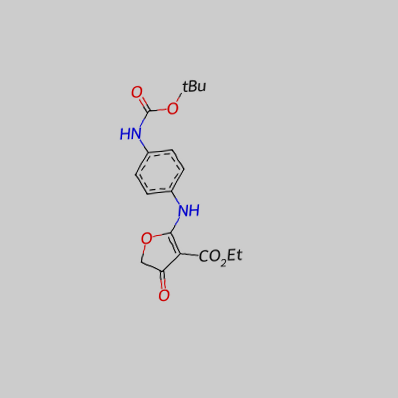 CCOC(=O)C1=C(Nc2ccc(NC(=O)OC(C)(C)C)cc2)OCC1=O